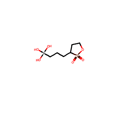 O=S1(=O)OCCC1CCC[Si](O)(O)O